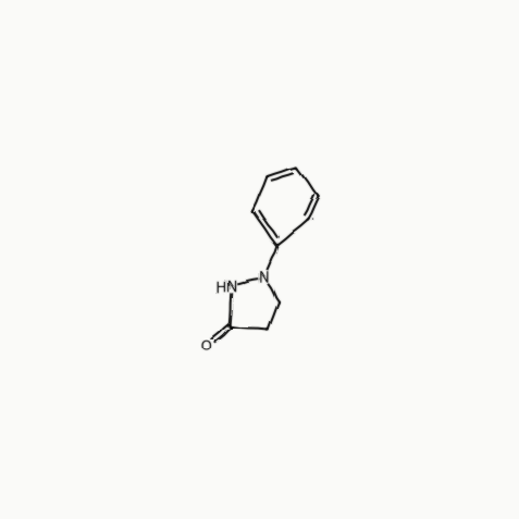 O=C1CCN(c2[c]cccc2)N1